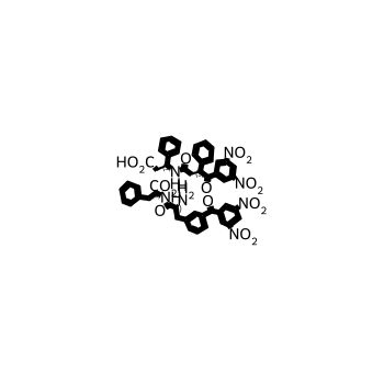 N[C@@H](Cc1cccc(C(=O)c2cc([N+](=O)[O-])cc([N+](=O)[O-])c2)c1)C(=O)N[C@@H](Cc1ccccc1)C(=O)O.O=C(O)C[C@H](NC(=O)C[C@H](C(=O)c1cc([N+](=O)[O-])cc([N+](=O)[O-])c1)c1ccccc1)c1ccccc1